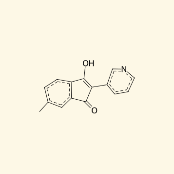 Cc1ccc2c(c1)C(=O)C(c1cccnc1)=C2O